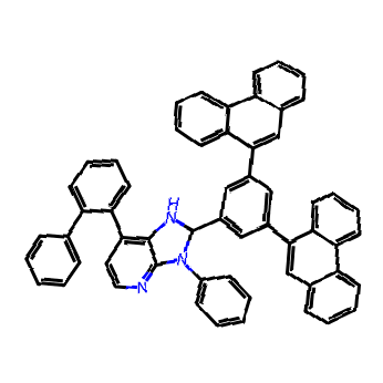 c1ccc(-c2ccccc2-c2ccnc3c2NC(c2cc(-c4cc5ccccc5c5ccccc45)cc(-c4cc5ccccc5c5ccccc45)c2)N3c2ccccc2)cc1